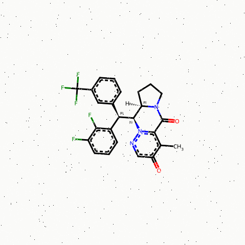 Cc1c2n(ncc1=O)[C@@H]([C@H](c1cccc(C(F)(F)F)c1)c1cccc(F)c1F)[C@H]1CCCN1C2=O